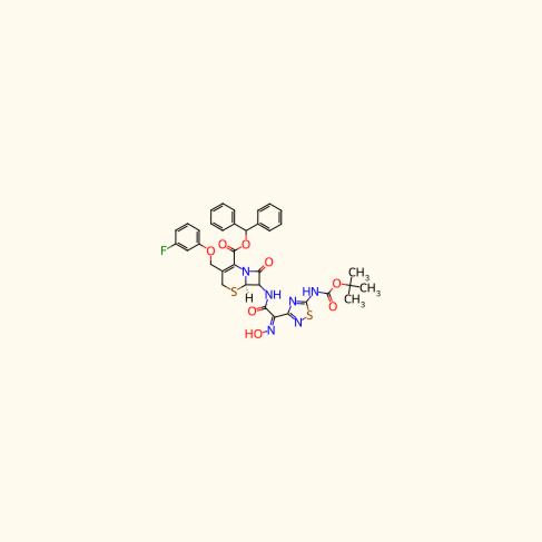 CC(C)(C)OC(=O)Nc1nc(/C(=N/O)C(=O)NC2C(=O)N3C(C(=O)OC(c4ccccc4)c4ccccc4)=C(COc4cccc(F)c4)CS[C@H]23)ns1